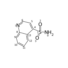 NS(=O)(=O)c1ccnc2ccccc12